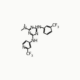 CN(C)c1nc(Nc2cccc(C(F)(F)F)c2)nc(Nc2ccnc(C(F)(F)F)c2)n1